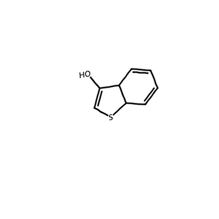 OC1=CSC2C=CC=CC12